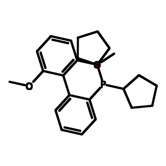 COc1cccc(OC)c1-c1ccccc1P(C1CCCC1)C1CCCC1